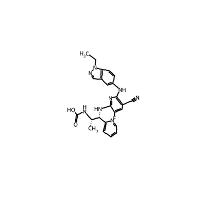 CCn1ncc2cc(Nc3nc(N[C@H](c4ccccn4)[C@H](C)NC(=O)O)c(F)cc3C#N)ccc21